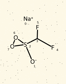 [Na+].[O-]S1(C(F)F)OO1